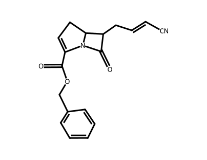 N#CC=CCC1C(=O)N2C(C(=O)OCc3ccccc3)=CCC12